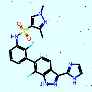 Cc1nn(C)cc1S(=O)(=O)Nc1cccc(-c2ccc3c(-c4ncc[nH]4)n[nH]c3c2F)c1F